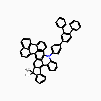 CC1(C)c2ccccc2-c2c(-c3ccccc3N(c3ccc(-c4ccc(-c5ccccc5)c(-c5ccccc5)c4)cc3)c3ccc(-c4cccc5cccc(-c6ccccc6)c45)cc3)cccc21